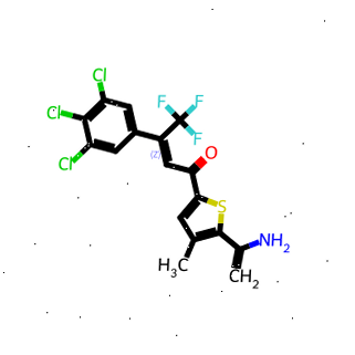 C=C(N)c1sc(C(=O)/C=C(/c2cc(Cl)c(Cl)c(Cl)c2)C(F)(F)F)cc1C